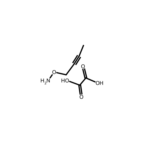 CC#CCON.O=C(O)C(=O)O